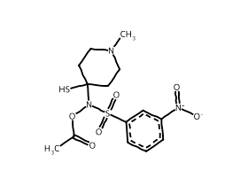 CC(=O)ON(C1(S)CCN(C)CC1)S(=O)(=O)c1cccc([N+](=O)[O-])c1